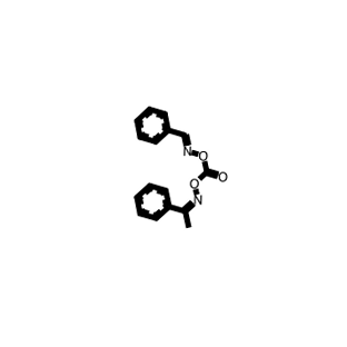 CC(=NOC(=O)ON=Cc1ccccc1)c1ccccc1